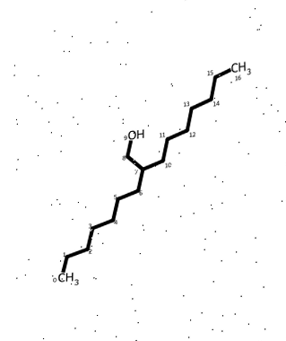 CCCCCCCC(CO)CCCCCCC